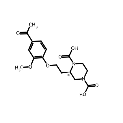 COc1cc(C(C)=O)ccc1OCC[C@@H]1CN(C(=O)O)CCN1C(=O)O